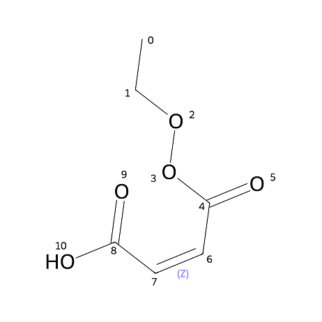 CCOOC(=O)/C=C\C(=O)O